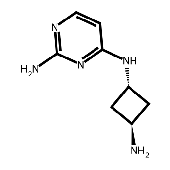 Nc1nccc(N[C@H]2C[C@H](N)C2)n1